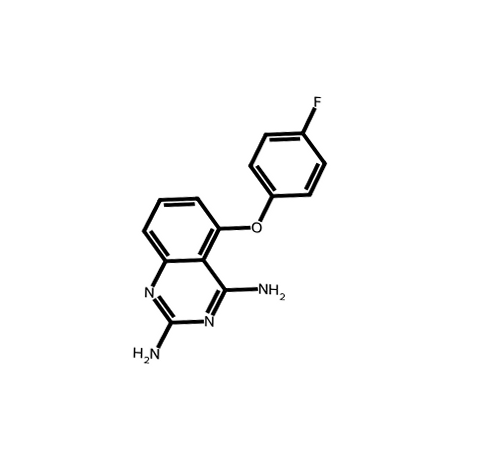 Nc1nc(N)c2c(Oc3ccc(F)cc3)cccc2n1